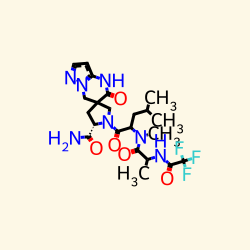 CC(C)CC(C(=O)N1CC2(C[C@H]1C(N)=O)Cn1nccc1NC2=O)N(C)C(=O)C(C)NC(=O)C(F)(F)F